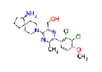 COc1ccc(-c2nc(CO)c(N3CCC4(CCC[C@H]4N)CC3)nc2C)c(Cl)c1Cl